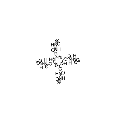 CC(C)(C)OC(=O)NCCNC(=O)c1ccc(-c2c3nc(c(-c4ccc(C(=O)NCCNC(=O)OC(C)(C)C)cc4)c4ccc([nH]4)c(-c4ccc(C(=O)NCCNC(=O)OC(C)(C)C)cc4)c4nc(c(-c5ccc(C(=O)NCCNC(=O)OC(C)(C)C)cc5)c5ccc2[nH]5)C=C4)C=C3)cc1